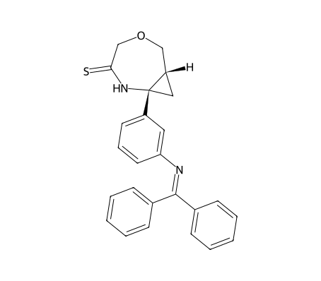 S=C1COC[C@@H]2C[C@]2(c2cccc(N=C(c3ccccc3)c3ccccc3)c2)N1